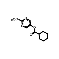 CCCCCCCCc1ncc(OC(=O)C2CCCCC2)cn1